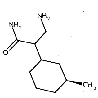 C[C@H]1CCCC(C(CN)C(N)=O)C1